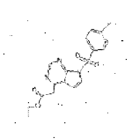 CCOC(=O)Cc1ncnc2c1ccn2S(=O)(=O)c1ccc(C)cc1